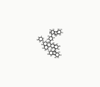 c1ccc(-c2cc(N(c3ccc(-c4nccc5c4oc4ccccc45)cc3)c3ccc4c(-n5c6ccccc6c6ccccc65)cccc4c3)c3ccccc3c2)cc1